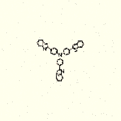 c1ccc2sc(-c3ccc(N(c4ccc(-c5cn6ccccc6n5)cc4)c4ccc(-c5cn6ccccc6n5)cc4)cc3)cc2c1